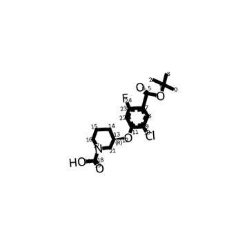 CC(C)(C)OC(=O)c1cc(Cl)c(O[C@@H]2CCCN(C(=O)O)C2)cc1F